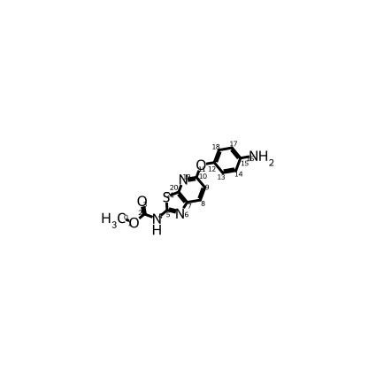 COC(=O)Nc1nc2ccc(Oc3ccc(N)cc3)nc2s1